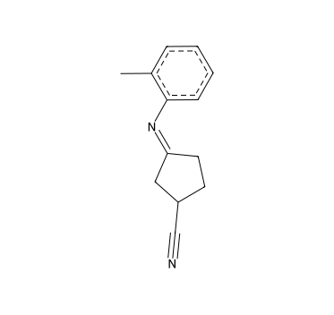 Cc1ccccc1N=C1CCC(C#N)C1